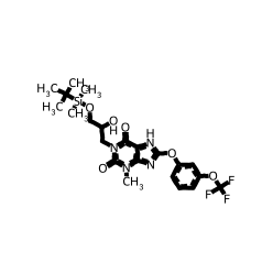 Cn1c(=O)n(CC(O)CO[Si](C)(C)C(C)(C)C)c(=O)c2[nH]c(Oc3cccc(OC(F)(F)F)c3)nc21